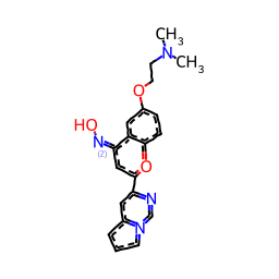 CN(C)CCOc1ccc2oc(-c3cc4cccn4cn3)c/c(=N/O)c2c1